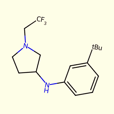 CC(C)(C)c1cccc(NC2CCN(CC(F)(F)F)C2)c1